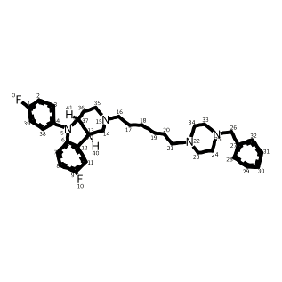 Fc1ccc(N2c3ccc(F)cc3[C@@H]3CN(CCCCCCN4CCN(Cc5ccccc5)CC4)CC[C@H]32)cc1